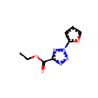 CCOC(=O)c1nnn(-c2ccco2)n1